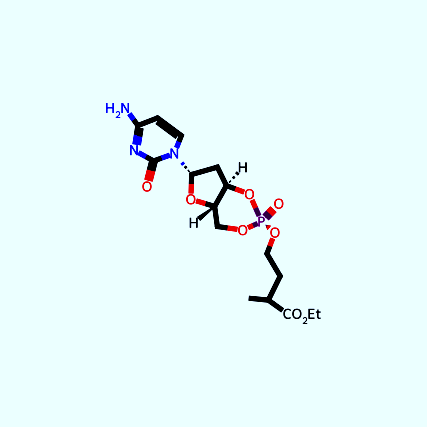 CCOC(=O)C(C)CCO[P@@]1(=O)OC[C@@H]2O[C@H](n3ccc(N)nc3=O)C[C@H]2O1